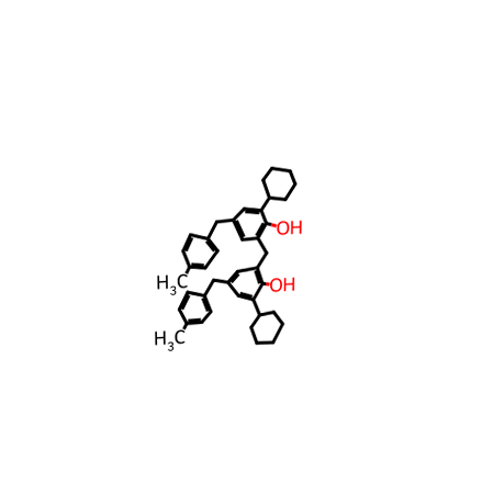 Cc1ccc(Cc2cc(Cc3cc(Cc4ccc(C)cc4)cc(C4CCCCC4)c3O)c(O)c(C3CCCCC3)c2)cc1